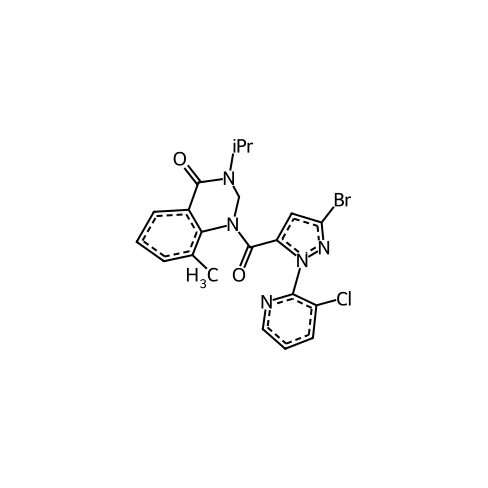 Cc1cccc2c1N(C(=O)c1cc(Br)nn1-c1ncccc1Cl)CN(C(C)C)C2=O